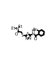 CCN(CC)C(=O)CSc1nnc(NC(=O)c2ccccc2Br)s1